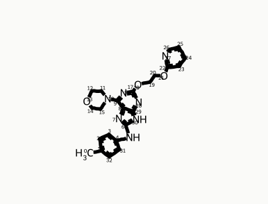 Cc1ccc(Nc2nc3c(N4CCOCC4)nc(OCCOc4ccccn4)nc3[nH]2)cc1